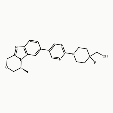 C[C@H]1COCc2nc3ccc(-c4cnc(N5CCC(F)(CO)CC5)nc4)cc3n21